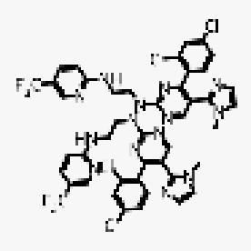 Cn1ccnc1-c1cnc(N(CCNc2ccc(C(F)(F)F)cn2)N(CCNc2ccc(C(F)(F)F)cn2)c2ncc(-c3nccn3C)c(-c3ccc(Cl)cc3Cl)n2)nc1-c1ccc(Cl)cc1Cl